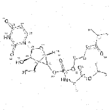 CC(C)OC(=O)[C@H](C)NP(=O)(OCCSC(=O)C(C)C)OC1[C@H]2O[C@@H](n3ccc(=O)[nH]c3=O)[C@H](O)[C@@]12CF